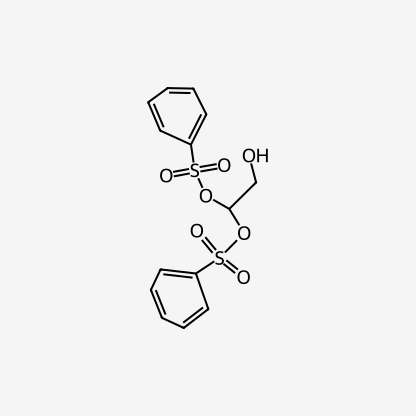 O=S(=O)(OC(CO)OS(=O)(=O)c1ccccc1)c1ccccc1